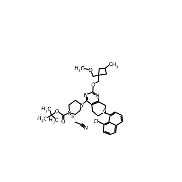 COCC1(COc2nc3c(c(N4CCN(C(=O)OC(C)(C)C)[C@@H](CC#N)C4)n2)CCN(c2cccc4cccc(Cl)c24)C3)CC(C)C1